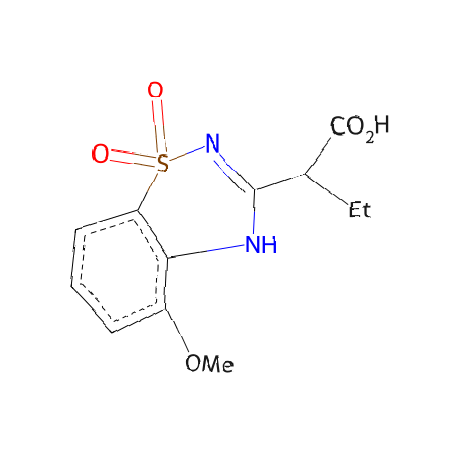 CCC(C(=O)O)C1=NS(=O)(=O)c2cccc(OC)c2N1